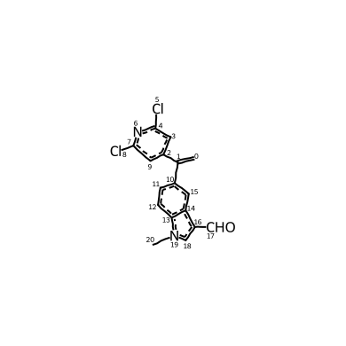 C=C(c1cc(Cl)nc(Cl)c1)c1ccc2c(c1)c(C=O)cn2C